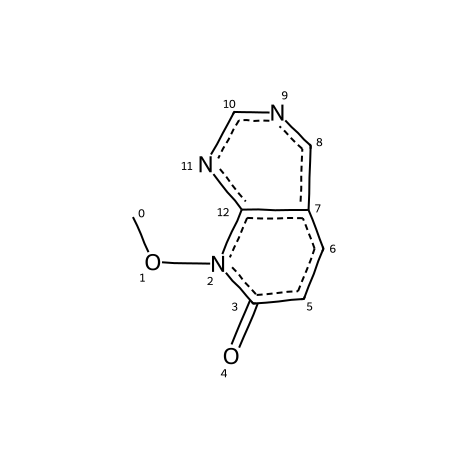 COn1c(=O)ccc2cncnc21